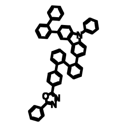 c1ccc(-c2nnc(-c3ccc(-c4ccccc4-c4ccccc4-c4ccc5c(c4)c4cc(-c6ccccc6-c6ccccc6)ccc4n5-c4ccccc4)cc3)o2)cc1